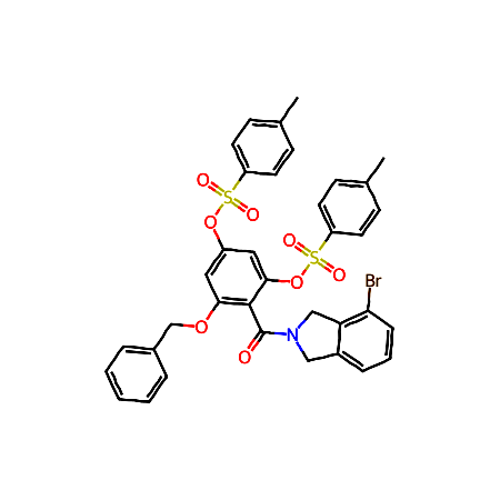 Cc1ccc(S(=O)(=O)Oc2cc(OCc3ccccc3)c(C(=O)N3Cc4cccc(Br)c4C3)c(OS(=O)(=O)c3ccc(C)cc3)c2)cc1